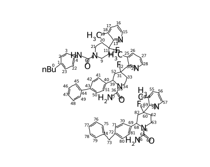 CCCCc1ccc(NC(=O)N2CCC(F)(c3ncccc3C)CC2)cc1.Cc1cccnc1C1(F)CCN(C(N)=O)C(c2ccc(-c3ccccc3)cc2)C1.Cc1cccnc1C1(F)CCN(C(N)=O)C(c2ccc(Cc3ccccc3)cc2)C1